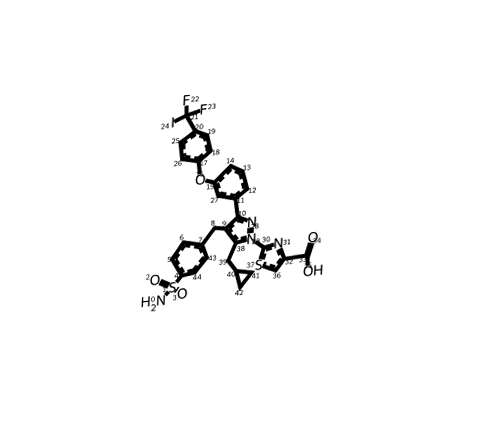 NS(=O)(=O)c1ccc(Cc2c(-c3cccc(Oc4ccc(C(F)(F)I)cc4)c3)nn(-c3nc(C(=O)O)cs3)c2CC2CC2)cc1